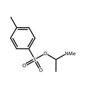 CNC(C)OS(=O)(=O)c1ccc(C)cc1